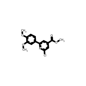 COC(=O)c1cc(Cl)nc(-c2ccc(OC)c(OC)c2)c1